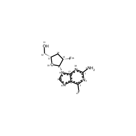 Nc1nc(F)c2ncn([C@@H]3O[C@H](CO)C[C@@H]3F)c2n1